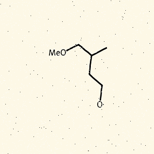 COCC(C)CC[O]